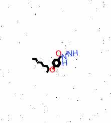 CCCCCCC(C)Oc1ccc(C(=O)NCNC)cc1